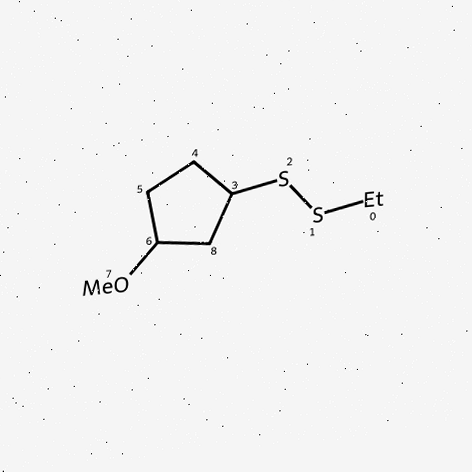 CCSSC1CCC(OC)C1